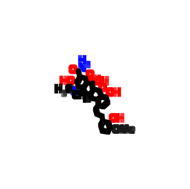 COc1cccc(C/C=C\c2ccc(O)c3c2C[C@H]2C[C@H]4[C@H](N(C)C)C(O)=C(C(N)=O)C(=O)[C@]4(O)C(O)=C2C3=O)c1O